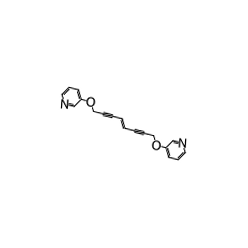 C(#CCOc1cccnc1)C=CC#CCOc1cccnc1